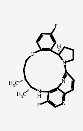 C[C@@H]1CCOc2ccc(F)cc2[C@H]2CCCN2c2ccc3ncc(F)c(c3n2)N[C@@H]1C